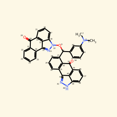 CN(C)c1cccc(C(On2nc3c4c(cccc42)C(=O)c2ccccc2-3)c2cccc3c2C(=O)c2cccc4[nH]nc-3c24)c1